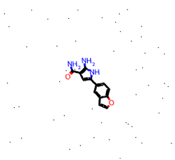 NC(=O)c1cc(-c2ccc3occc3c2)[nH]c1N